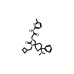 Cc1cccc(NC(=O)CN2CC3(CCC(c4ccccc4)(N(C)C)CC3)N(CC3CCC3)C2=O)n1